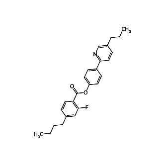 CCCCc1ccc(C(=O)Oc2ccc(-c3ccc(CCC)cn3)cc2)c(F)c1